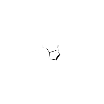 CCC1NC=CN1CC